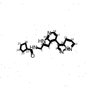 O=C(NCc1cc2c(-c3cnn4ncccc34)ccnc2[nH]1)C1CCCC1